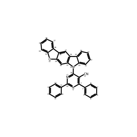 N#Cc1c(-c2ccccc2)nc(-c2ccccc2)nc1-n1c2ccccc2c2cc3c(cc21)oc1ccccc13